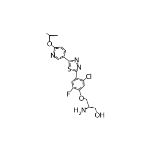 CC(C)Oc1ccc(-c2nnc(-c3cc(F)c(OC[C@H](N)CO)cc3Cl)s2)cn1